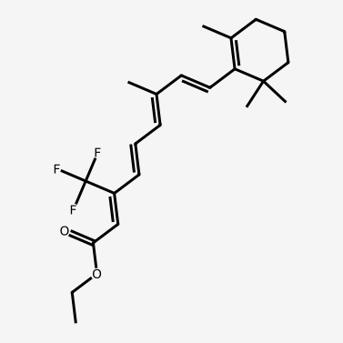 CCOC(=O)/C=C(/C=CC=C(C)C=CC1=C(C)CCCC1(C)C)C(F)(F)F